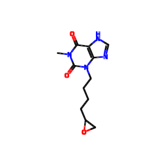 Cn1c(=O)c2[nH]cnc2n(CCCCC2CO2)c1=O